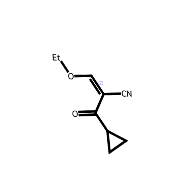 CCO/C=C(/C#N)C(=O)C1CC1